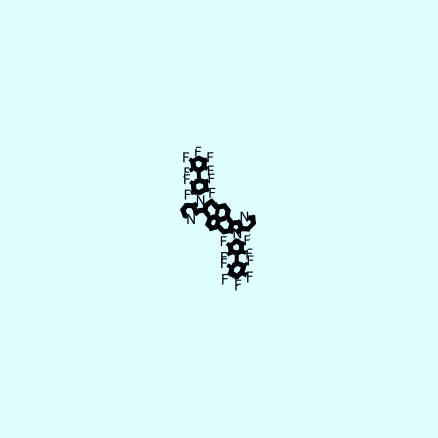 Fc1c(F)c(F)c(-c2c(F)c(F)c(-n3c4cccnc4c4c5ccc6cc7c(c8ccc(cc43)c5c68)c3ncccc3n7-c3c(F)c(F)c(-c4c(F)c(F)c(F)c(F)c4F)c(F)c3F)c(F)c2F)c(F)c1F